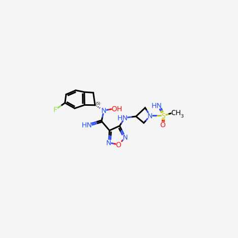 CS(=N)(=O)N1CC(Nc2nonc2C(=N)N(O)[C@H]2Cc3ccc(F)cc32)C1